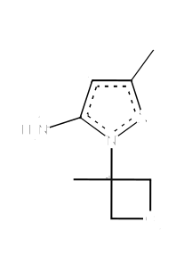 Cc1cc(N)n(C2(C)COC2)n1